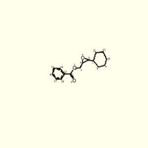 O=C(OCC1OC1C1CCCCC1)c1ccccc1